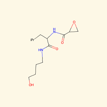 CC(C)CC(NC(=O)C1CO1)C(=O)NCCCCO